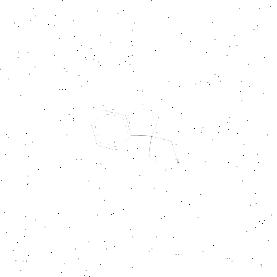 CC(C)CC1(CC(C)C)C=Cc2ccccc21